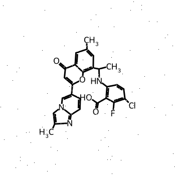 Cc1cc(C(C)Nc2ccc(Cl)c(F)c2C(=O)O)c2oc(-c3ccc4nc(C)cn4c3)cc(=O)c2c1